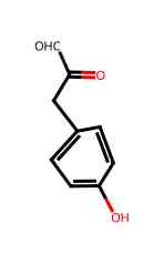 O=CC(=O)Cc1ccc(O)cc1